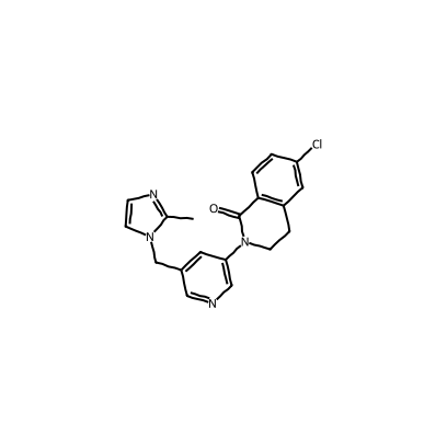 Cc1nccn1Cc1cncc(N2CCc3cc(Cl)ccc3C2=O)c1